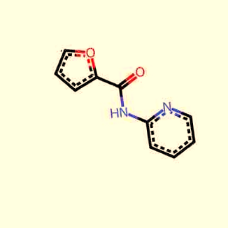 O=C(Nc1ccccn1)c1cc[c]o1